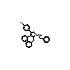 Clc1ccc(-c2nn(NCc3ccccc3)c(Cc3ccccc3)c2-c2ccncc2)cc1